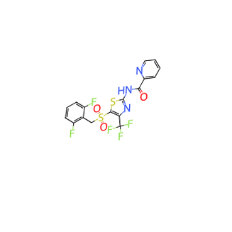 O=C(Nc1nc(C(F)(F)F)c(S(=O)(=O)Cc2c(F)cccc2F)s1)c1ccccn1